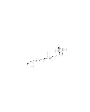 C#CCNCCOCCOCCNC(=O)CCCC[C@H]1SCC2NC(=O)NC21